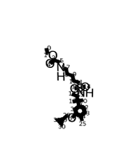 CCOC(=O)CNCCCCCS(=O)(=O)NC(C)C(C)(C)c1ccc(C)c(OCC2CC2)c1